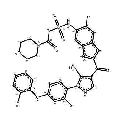 Cc1cc2cc(C(=O)c3cnn(-c4ccc(Oc5ccccc5F)cc4C)c3N)[nH]c2cc1NS(=O)(=O)CC(=O)N1CCOCC1